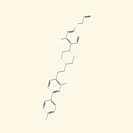 C=CCOc1ccc(C2CCC(CCc3ccc(-c4ccc(C)cc4)c(F)c3F)CC2)c(F)c1